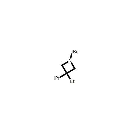 CCC1(C(C)C)CN(C(C)(C)C)C1